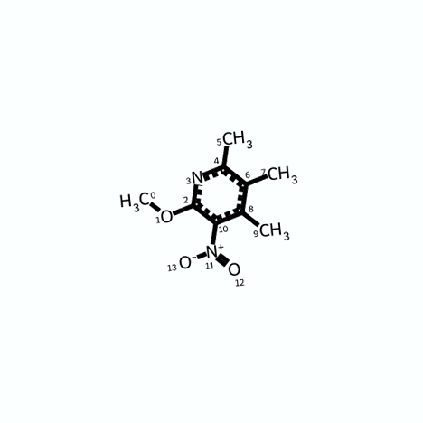 COc1nc(C)c(C)c(C)c1[N+](=O)[O-]